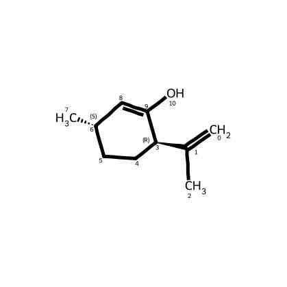 C=C(C)[C@H]1CC[C@H](C)C=C1O